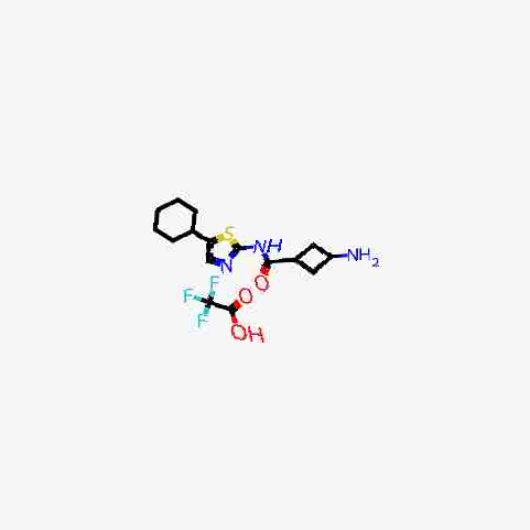 NC1CC(C(=O)Nc2ncc(C3CCCCC3)s2)C1.O=C(O)C(F)(F)F